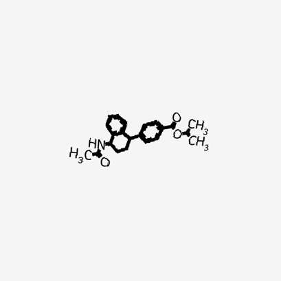 CC(=O)NC1CCC(c2ccc(C(=O)OC(C)C)cc2)c2ccccc21